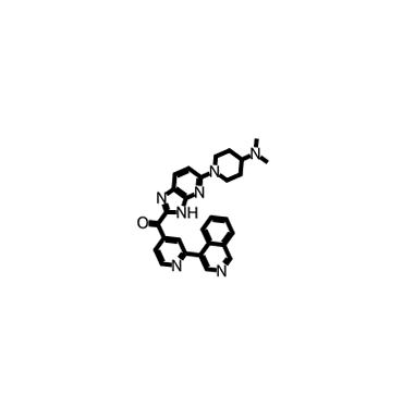 CN(C)C1CCN(c2ccc3nc(C(=O)c4ccnc(-c5cncc6ccccc56)c4)[nH]c3n2)CC1